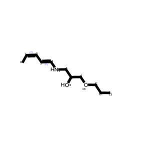 C/C=C\C=C\NCC(O)COCCC